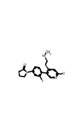 CNCCc1cc(Cl)ncc1-c1ccc(N2CCCC2=O)cc1F